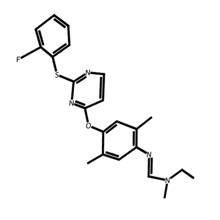 CCN(C)/C=N/c1cc(C)c(Oc2ccnc(Sc3ccccc3F)n2)cc1C